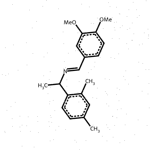 COc1ccc(C=NC(C)c2ccc(C)cc2C)cc1OC